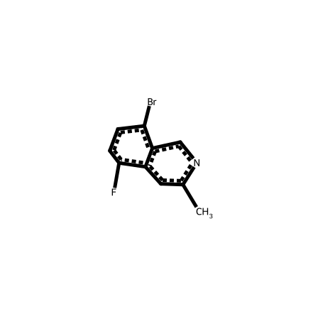 Cc1cc2c(F)ccc(Br)c2cn1